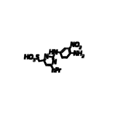 CCCc1cc(CS(=O)(=O)O)nc(Nc2ccc(N)c([N+](=O)[O-])c2)n1